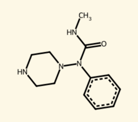 CNC(=O)N(c1ccccc1)N1CCNCC1